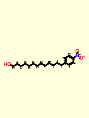 O=[N+]([O-])c1ccc(CCCCCCCCCCCCCO)cc1